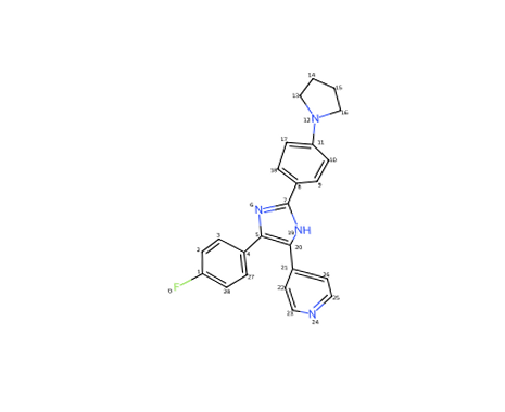 Fc1ccc(-c2nc(-c3ccc(N4CCCC4)cc3)[nH]c2-c2ccncc2)cc1